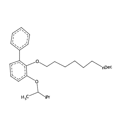 CCCCCCCCCCCCCCCCOc1c(OC(C)C(C)C)cccc1-c1ccccc1